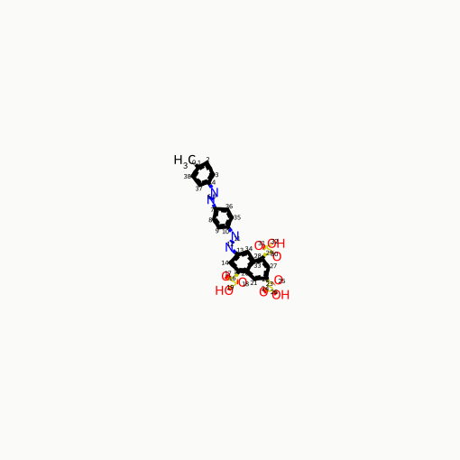 Cc1ccc(N=Nc2ccc(N=Nc3cc(S(=O)(=O)O)c4cc(S(=O)(=O)O)cc(S(=O)(=O)O)c4c3)cc2)cc1